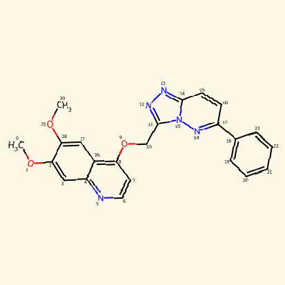 COc1cc2nccc(OCc3nnc4ccc(-c5ccccc5)nn34)c2cc1OC